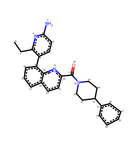 CCc1nc(N)ccc1-c1cccc2ccc(C(=O)N3CCC(c4ccccc4)CC3)nc12